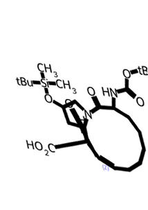 CC(C)(C)OC(=O)NC1CCCCC/C=C\C2CC(C(=O)O)NC(=O)C23CC(O[Si](C)(C)C(C)(C)C)CN3C1=O